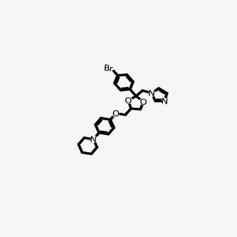 Brc1ccc(C2(Cn3ccnc3)OCC(COc3ccc(N4CCCCC4)cc3)O2)cc1